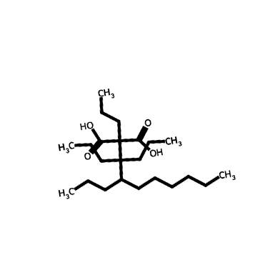 CCCCCCC(CCC)C(CCC)(CCC)C(CCC)(C(=O)O)C(=O)O